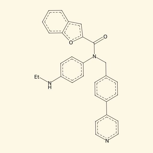 CCNc1ccc(N(Cc2ccc(-c3ccncc3)cc2)C(=O)c2cc3ccccc3o2)cc1